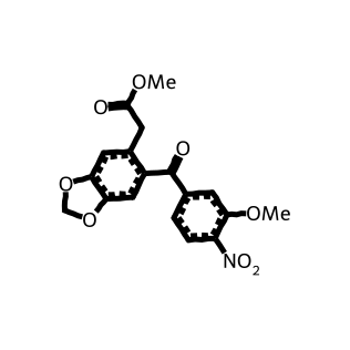 COC(=O)Cc1cc2c(cc1C(=O)c1ccc([N+](=O)[O-])c(OC)c1)OCO2